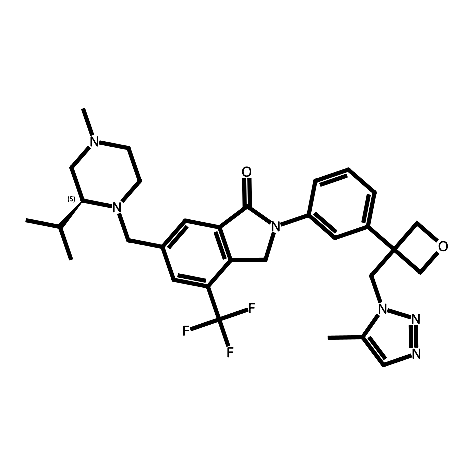 Cc1cnnn1CC1(c2cccc(N3Cc4c(cc(CN5CCN(C)C[C@@H]5C(C)C)cc4C(F)(F)F)C3=O)c2)COC1